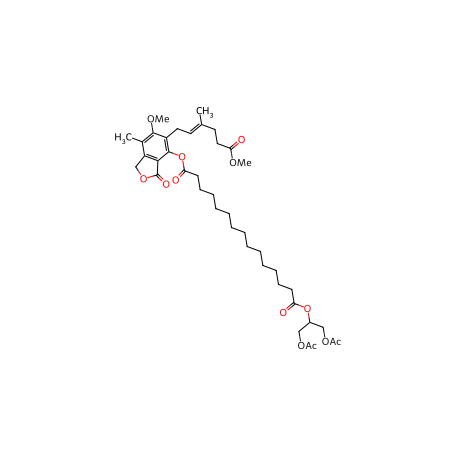 COC(=O)CC/C(C)=C/Cc1c(OC)c(C)c2c(c1OC(=O)CCCCCCCCCCCCCC(=O)OC(COC(C)=O)COC(C)=O)C(=O)OC2